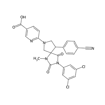 CN1C(=O)N(c2cc(Cl)cc(Cl)c2)C(=O)C12CN(c1ccc(C(=O)O)cn1)CC2c1ccc(C#N)cc1